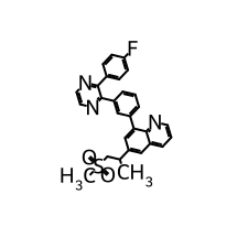 CC(CS(C)(=O)=O)c1cc(-c2cccc(-c3nccnc3-c3ccc(F)cc3)c2)c2ncccc2c1